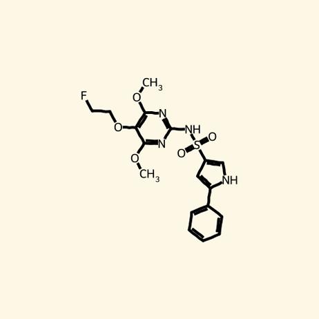 COc1nc(NS(=O)(=O)c2c[nH]c(-c3ccccc3)c2)nc(OC)c1OCCF